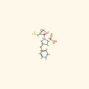 CC(CS)C(=O)N1CC(Cc2ccncc2)C[C@H]1C(=O)O